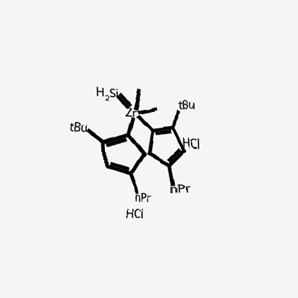 CCCC1=CC(C(C)(C)C)=[C]([Zr]([CH3])([CH3])(=[SiH2])[C]2=C(C(C)(C)C)C=C(CCC)C2)C1.Cl.Cl